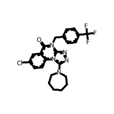 O=c1c2cc(Cl)ccc2n2c(N3CCCCCC3)nnc2n1Cc1ccc(C(F)(F)F)cc1